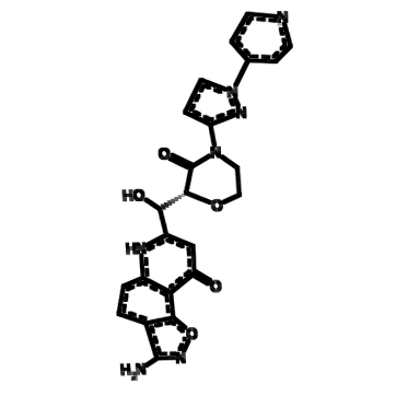 Nc1noc2c1ccc1[nH]c(C(O)[C@H]3OCCN(c4ccn(-c5ccncc5)n4)C3=O)cc(=O)c12